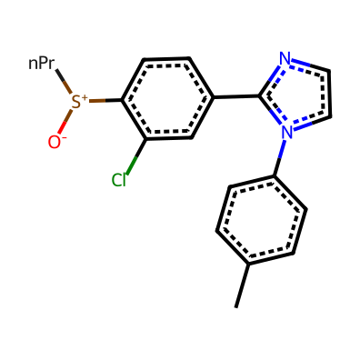 CCC[S+]([O-])c1ccc(-c2nccn2-c2ccc(C)cc2)cc1Cl